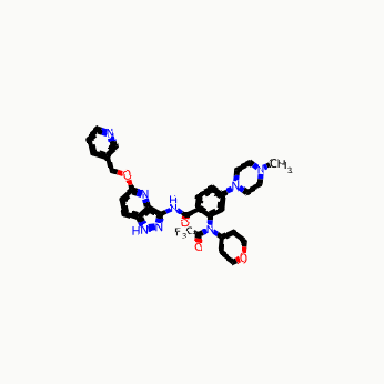 CN1CCN(c2ccc(C(=O)Nc3n[nH]c4ccc(OCc5cccnc5)nc34)c(N(C(=O)C(F)(F)F)C3CCOCC3)c2)CC1